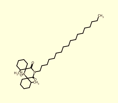 CCCCCCCCCCCCCCCCCCN1C(=O)C2(CCCCC2C)N(O)C2(CCCCC2C)C1=O